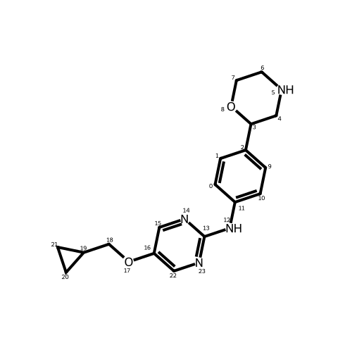 c1cc(C2CNCCO2)ccc1Nc1ncc(OCC2CC2)cn1